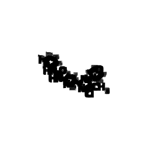 Cc1c(Cl)nc(-c2ccc(NC(=O)Nc3cccc(F)c3)nc2)nc1N1CCOCC1